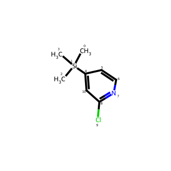 C[Si](C)(C)c1ccnc(Cl)c1